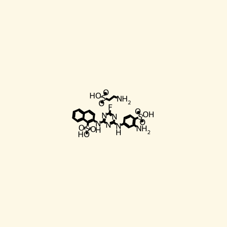 NCCS(=O)(=O)O.Nc1cc(Nc2nc(F)nc(Nc3ccc4ccccc4c3S(=O)(=O)O)n2)ccc1S(=O)(=O)O